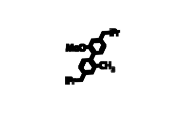 COc1cc(CC(C)C)ccc1-c1ccc(CC(C)C)cc1C